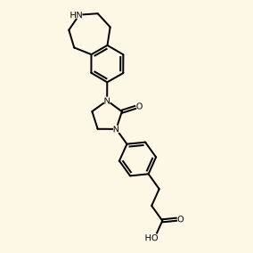 O=C(O)CCc1ccc(N2CCN(c3ccc4c(c3)CCNCC4)C2=O)cc1